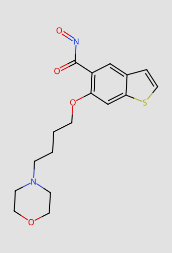 O=NC(=O)c1cc2ccsc2cc1OCCCCN1CCOCC1